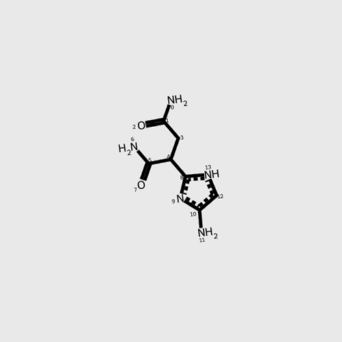 NC(=O)CC(C(N)=O)c1nc(N)c[nH]1